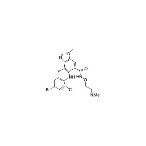 CNCCONC(=O)c1cc2c(ncn2C)c(F)c1NC1=CCC(Br)C=C1Cl